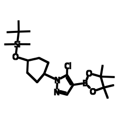 CC1(C)OB(c2cnn(C3CCC(O[Si](C)(C)C(C)(C)C)CC3)c2Cl)OC1(C)C